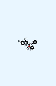 COC(=O)C(N=C(c1ccccc1)c1ccccc1)c1cc(=O)n2cc(F)ccc2n1